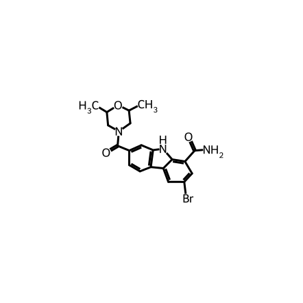 CC1CN(C(=O)c2ccc3c(c2)[nH]c2c(C(N)=O)cc(Br)cc23)CC(C)O1